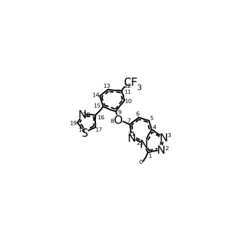 Cc1nnc2ccc(Oc3cc(C(F)(F)F)ccc3-c3cscn3)nn12